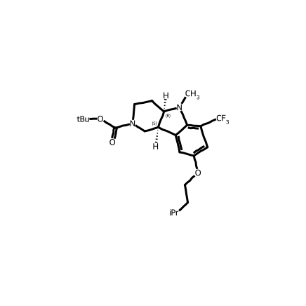 CC(C)CCOc1cc2c(c(C(F)(F)F)c1)N(C)[C@@H]1CCN(C(=O)OC(C)(C)C)C[C@H]21